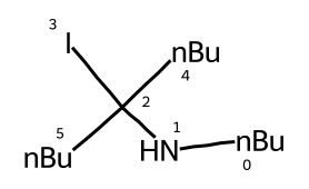 CCCCNC(I)(CCCC)CCCC